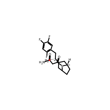 NC(=O)[CH]C(=O)N1C2CC[C@H]1CC([C@H](N)Cc1cc(F)c(F)cc1F)C2